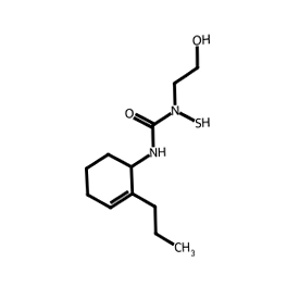 CCCC1=CCCCC1NC(=O)N(S)CCO